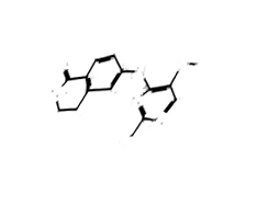 COc1cnc(Cl)nc1Nc1ccc2c(c1)CCNC2=O